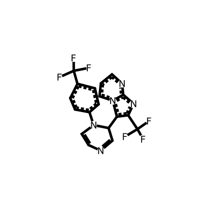 FC(F)(F)c1ccc(N2C=CN=CC2c2c(C(F)(F)F)nc3ncccn23)cc1